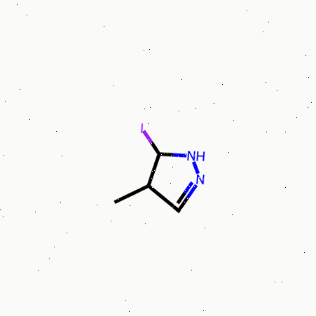 CC1C=NNC1I